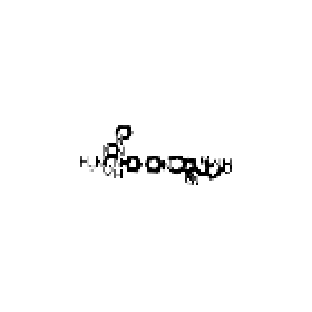 NC(=O)c1ncc(N2CCCCC2)nc1Nc1ccc([C@H]2CC[C@@H](N3CCc4ccc5c(C6CCC(=O)NC6=O)noc5c4CC3)CC2)cc1